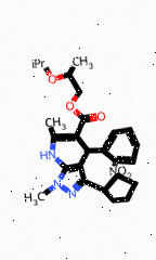 CC1=C(C(=O)OCC(C)OC(C)C)C(c2ccccc2[N+](=O)[O-])c2c(C3CCCC3)nn(C)c2N1